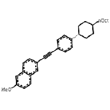 CCCCCCCC[C@H]1CC[C@H](c2ccc(C#Cc3ccc4cc(OC)ccc4c3)cc2)CC1